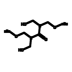 CCCCOCN(CO)C(=O)N(CO)COCCCC